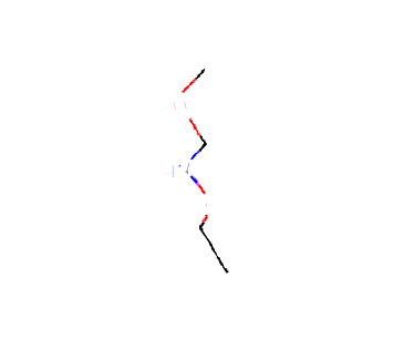 CCONCOC